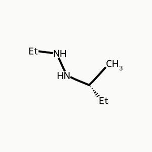 CCNN[C@H](C)CC